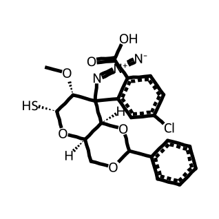 CO[C@H]1[C@@H](S)O[C@@H]2COC(c3ccccc3)O[C@@H]2C1(N=[N+]=[N-])c1cc(Cl)ccc1C(=O)O